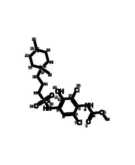 COC(=O)Nc1c(Cl)cc(NS(=O)(=O)CCC[N+]2(C)CCN(C)CC2)c(O)c1Cl